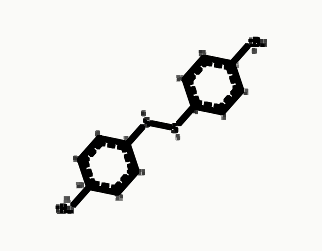 CC(C)(C)c1ccc(SSc2ccc(C(C)(C)C)cc2)cc1